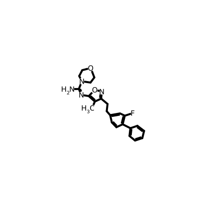 Cc1c(CCc2ccc(-c3ccccc3)c(F)c2)noc1N=C(N)N1CCOCC1